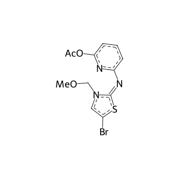 COCn1cc(Br)sc1=Nc1cccc(OC(C)=O)n1